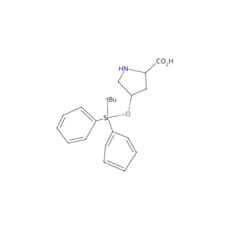 CC(C)(C)[Si](OC1CNC(C(=O)O)C1)(c1ccccc1)c1ccccc1